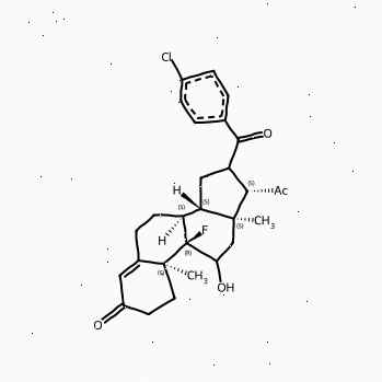 CC(=O)[C@H]1C(C(=O)c2ccc(Cl)cc2)C[C@H]2[C@@H]3CCC4=CC(=O)CC[C@]4(C)[C@@]3(F)C(O)C[C@]12C